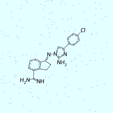 N=C(N)c1cccc2c1CCC2=Nn1cc(-c2ccc(Cl)cc2)nc1N